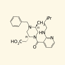 CC(C)CCNc1ncccc1C(=O)N1C[C@H](C)N(Cc2ccccc2)C[C@H]1CC(=O)O